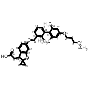 COCCCOc1cc(C)c(-c2cccc(COc3ccc4c(c3)OC3(CC3)C4CC(=O)O)c2C)c(C)c1